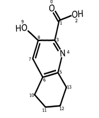 O=C(O)c1nc2c(cc1O)CCCC2